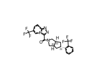 O=C(c1nnc2ccc(C(F)(F)F)cn12)N1C[C@H]2C[C@H](c3ccccc3C(F)(F)F)C[C@H]2C1